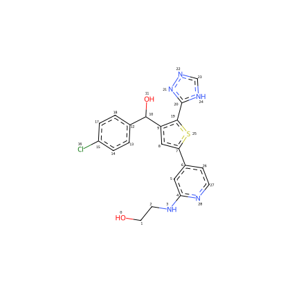 OCCNc1cc(-c2cc(C(O)c3ccc(Cl)cc3)c(-c3nnc[nH]3)s2)ccn1